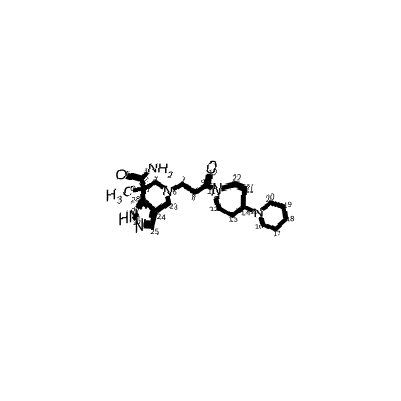 CC1(C(N)=O)CN(C[CH]C(=O)N2CCC(N3CCCCC3)CC2)Cc2cn[nH]c21